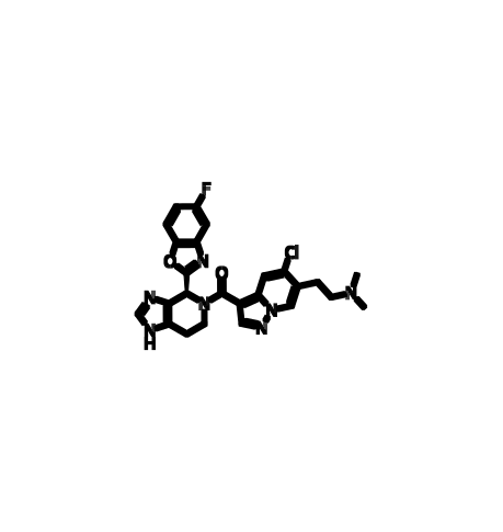 CN(C)CCc1cn2ncc(C(=O)N3CCc4[nH]cnc4[C@H]3c3nc4cc(F)ccc4o3)c2cc1Cl